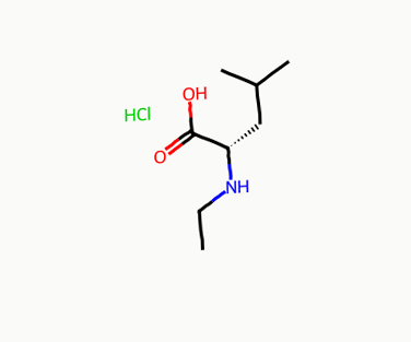 CCN[C@@H](CC(C)C)C(=O)O.Cl